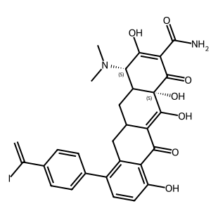 C=C(I)c1ccc(-c2ccc(O)c3c2CC2CC4[C@H](N(C)C)C(O)=C(C(N)=O)C(=O)[C@@]4(O)C(O)=C2C3=O)cc1